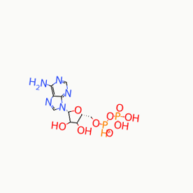 Nc1ncnc2c1ncn2[C@@H]1O[C@H](CO[PH](=O)OP(=O)(O)O)C(O)C1O